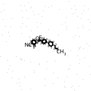 CC=CC[C@H]1CC[C@H](c2ccc(C(F)(F)Oc3ccc(C#N)c(F)c3)cc2)CC1